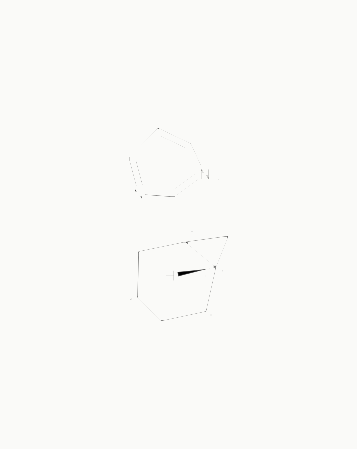 c1cnc([C@@]23CCCC[C@H]2C3)nc1